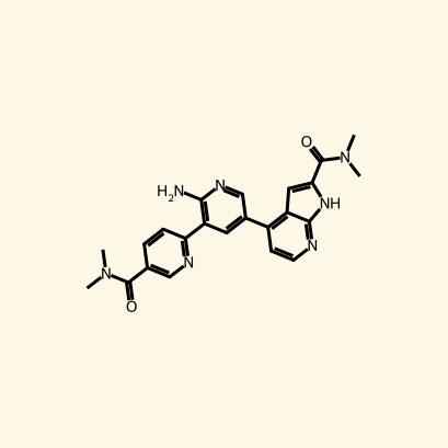 CN(C)C(=O)c1ccc(-c2cc(-c3ccnc4[nH]c(C(=O)N(C)C)cc34)cnc2N)nc1